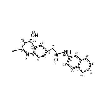 CC1=Nc2ccc(CC(=O)Nc3ccc4cnccc4c3)cc2B(O)O1